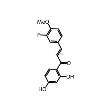 COc1ccc(/C=C/C(=O)c2ccc(O)cc2O)cc1F